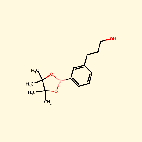 CC1(C)OB(c2cccc(CCCO)c2)OC1(C)C